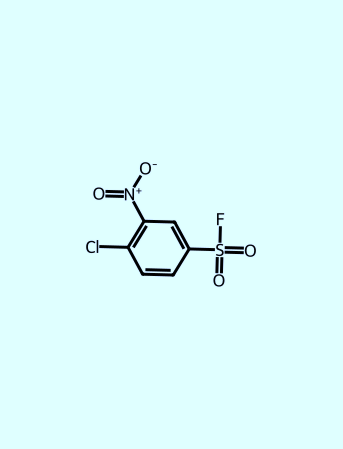 O=[N+]([O-])c1cc(S(=O)(=O)F)ccc1Cl